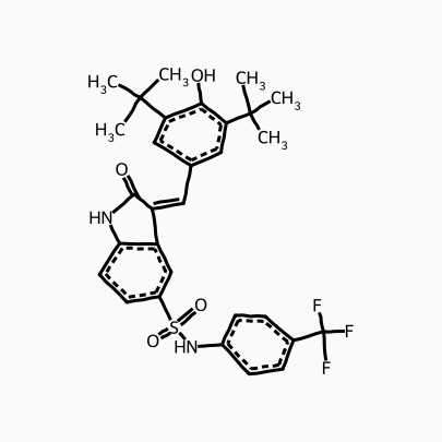 CC(C)(C)c1cc(C=C2C(=O)Nc3ccc(S(=O)(=O)Nc4ccc(C(F)(F)F)cc4)cc32)cc(C(C)(C)C)c1O